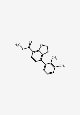 COC(=O)c1ccc(-c2cccc(C)c2C)c2c1OCO2